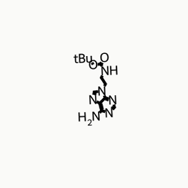 CC(C)(C)OC(=O)NCCn1cnc2c(N)ncnc21